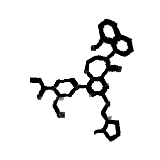 C=CC(=O)N1CCN(c2nc(OC[C@H]3CCCN3C)nc3c2OCCN(c2cccc4cccc(Cl)c24)C3=O)C[C@@H]1CC#N